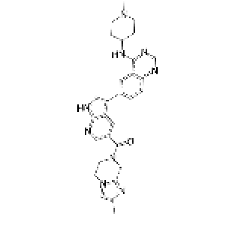 Cc1cn2c(n1)CN(C(=O)c1cnc3[nH]cc(-c4ccc5ncnc(NC6CCN(C)CC6)c5c4)c3c1)CC2